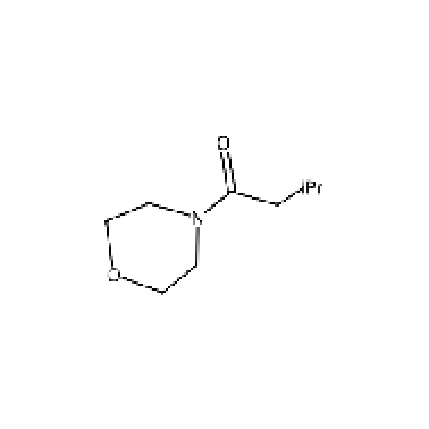 [CH2]C(C)CC(=O)N1CCOCC1